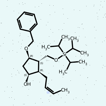 C/C=C\C[C@@H]1[C@@H](CO[Si](C(C)C)(C(C)C)C(C)C)[C@H](OCc2ccccc2)C[C@@H]1O